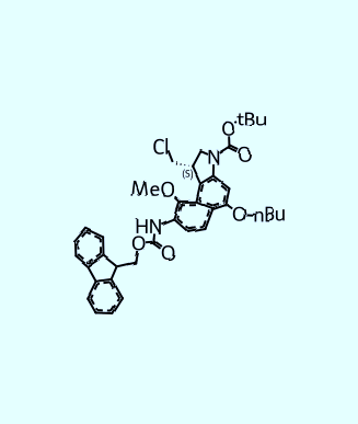 CCCCOc1cc2c(c3c(OC)c(NC(=O)OCC4c5ccccc5-c5ccccc54)ccc13)[C@H](CCl)CN2C(=O)OC(C)(C)C